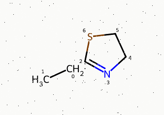 [CH2]C.[C]1=NCCS1